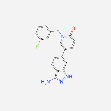 Nc1n[nH]c2cc(-c3ccc(=O)n(Cc4cccc(F)c4)c3)ccc12